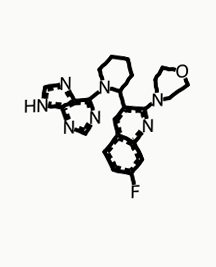 Fc1ccc2cc(C3CCCCN3c3ncnc4[nH]cnc34)c(N3CCOCC3)nc2c1